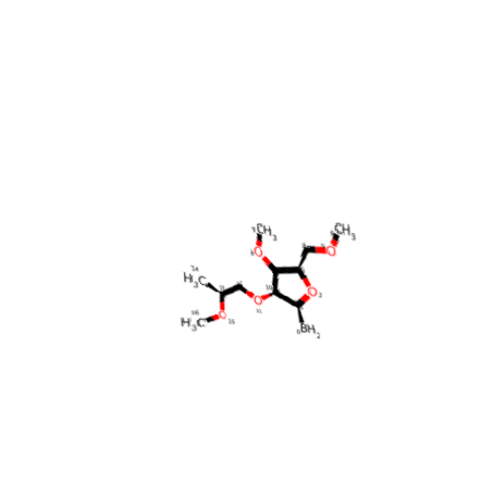 B[C@@H]1O[C@H](COC)C(OC)[C@@H]1OC[C@H](C)OC